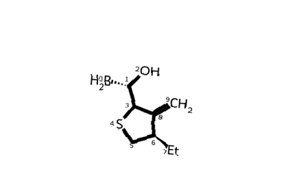 B[C@H](O)C1SC[C@H](CC)C1=C